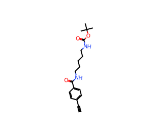 C#Cc1ccc(C(=O)NCCCCCNC(=O)OC(C)(C)C)cc1